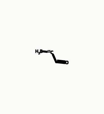 B[11CH2]C=O